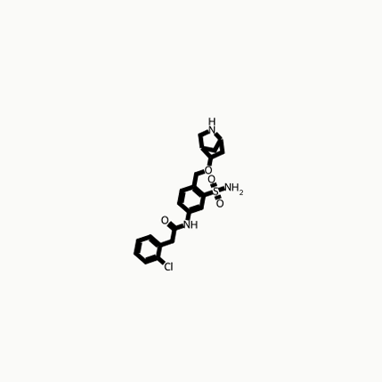 NS(=O)(=O)c1cc(NC(=O)Cc2ccccc2Cl)ccc1COC1CC2CC1CN2